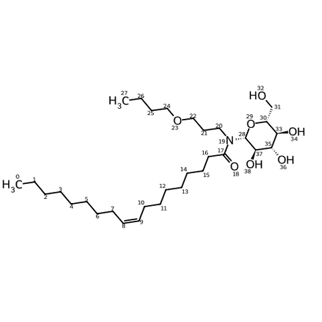 CCCCCCCC/C=C\CCCCCCCC(=O)N(CCCOCCCC)[C@@H]1O[C@H](CO)[C@@H](O)[C@H](O)[C@H]1O